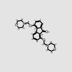 O=C1c2cccc(OCN3CCOCC3)c2-c2cccc(OCN3CCOCC3)c21